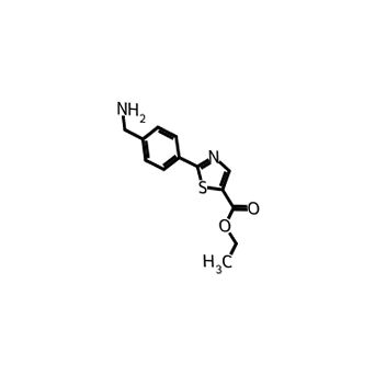 CCOC(=O)c1cnc(-c2ccc(CN)cc2)s1